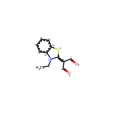 CCN1C(=C(C=O)C=O)Sc2ccccc21